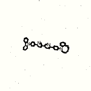 C1=CC2c3ccccc3N(c3ccc(-c4ccc(-c5ccc(-c6ccc(-n7ccccccc8ccccc87)cc6)nc5)cn4)cc3)C2C=C1